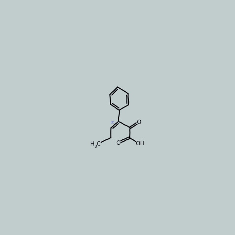 CC/C=C(\C(=O)C(=O)O)c1ccccc1